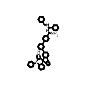 N/C(=N\C(=N/Cc1ccccc1)c1ccccc1)c1ccc(-c2cccc(-c3ccc4c(c3)C3(C5=C(C=CNC5)N(c5ccccc5)c5ccccc53)c3ccccc3-4)c2)cc1